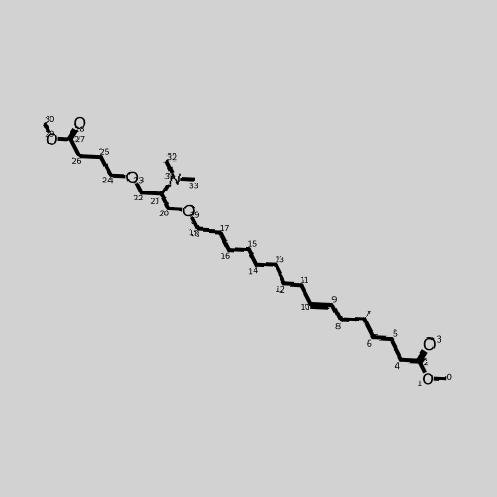 COC(=O)CCCCCC=CCCCCCCCCOCC(COCCCC(=O)OC)N(C)C